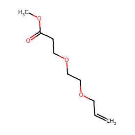 C=CCOCCOCCC(=O)OC